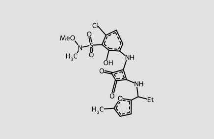 CCC(Nc1c(Nc2ccc(Cl)c(S(=O)(=O)N(C)OC)c2O)c(=O)c1=O)c1ccc(C)o1